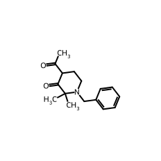 CC(=O)C1CCN(Cc2ccccc2)C(C)(C)C1=O